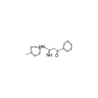 Cc1ccc(NC(=N)CC(=O)c2ccccc2)cc1